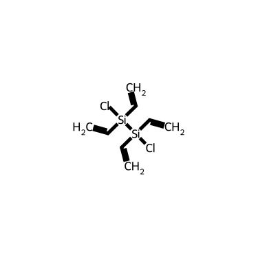 C=C[Si](Cl)(C=C)[Si](Cl)(C=C)C=C